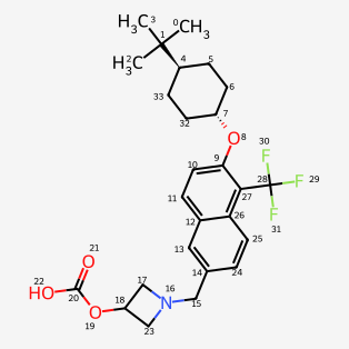 CC(C)(C)[C@H]1CC[C@H](Oc2ccc3cc(CN4CC(OC(=O)O)C4)ccc3c2C(F)(F)F)CC1